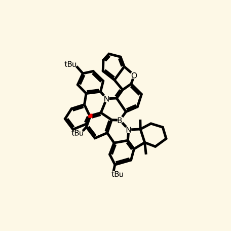 CC(C)(C)c1ccc(N2c3cc(C(C)(C)C)cc4c3B(c3ccc5oc6ccccc6c5c32)N2c3c-4cc(C(C)(C)C)cc3C3(C)CCCCC23C)c(-c2ccccc2)c1